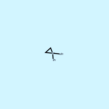 CCC[N+]1(C(C)C)CC1